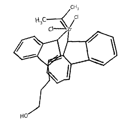 C[C](C)=[Zr]([Cl])([Cl])([CH]1C=C(CCCO)c2ccccc21)[CH]1c2ccccc2-c2ccccc21